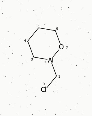 Cl[CH2][Al]1[CH2]CCC[O]1